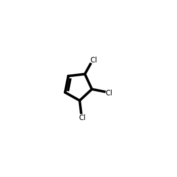 ClC1C=CC(Cl)C1Cl